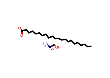 CCCCCCCCCCCCCCCCCCCCCC(=O)[O-].NCCO.[K+]